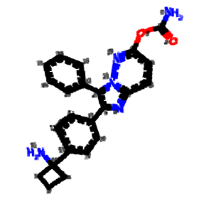 NC(=O)Oc1ccc2nc(-c3ccc(C4(N)CCC4)cc3)c(-c3ccccc3)n2n1